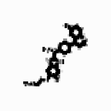 COCCOc1cc2nc([C@H](C)C3CCC(c4ccnc5ccc(F)cc45)CC3)[nH]c2cc1F